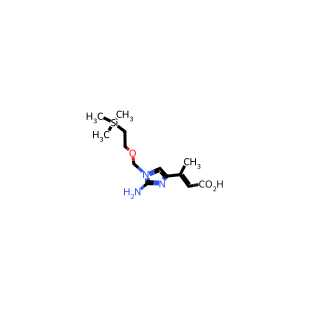 C/C(=C\C(=O)O)c1cn(COCC[Si](C)(C)C)c(N)n1